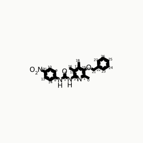 Cc1nc(NC(=O)Nc2ccc([N+](=O)[O-])cc2)c(C)c(C)c1OCc1ccccc1